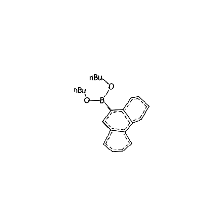 CCCCOB(OCCCC)c1cc2ccccc2c2ccccc12